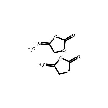 C=C1COC(=O)O1.C=C1COC(=O)O1.O